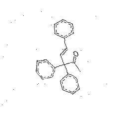 CC(=O)C(C=Cc1ccccc1)(c1ccccc1)c1ccccc1